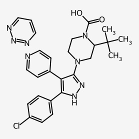 CC(C)(C)C1CN(c2n[nH]c(-c3ccc(Cl)cc3)c2-c2ccncc2)CCN1C(=O)O.c1cnnnc1